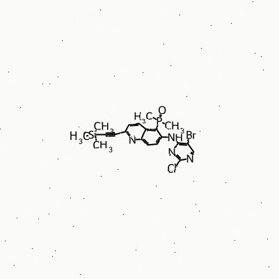 C[Si](C)(C)C#Cc1ccc2c(P(C)(C)=O)c(Nc3nc(Cl)ncc3Br)ccc2n1